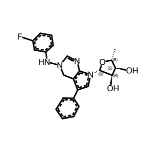 C[C@H]1O[C@@H](n2cc(-c3ccccc3)c3c2N=CN(Nc2cccc(F)c2)C3)[C@H](O)[C@@H]1O